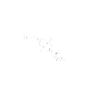 CNC(=O)N1C[C@H]2CN(C(=O)O)C[C@H]2C1